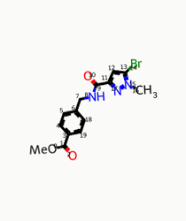 COC(=O)c1ccc(CNC(=O)c2cc(Br)n(C)n2)cc1